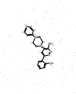 Nc1nnc(-c2ccccc2O)cc1N1CCN(c2ccncc2)CC1